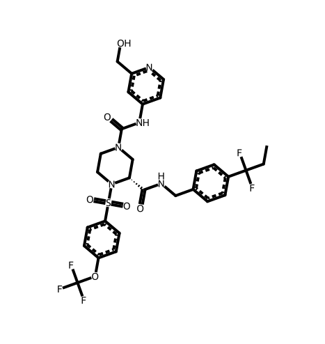 CCC(F)(F)c1ccc(CNC(=O)[C@H]2CN(C(=O)Nc3ccnc(CO)c3)CCN2S(=O)(=O)c2ccc(OC(F)(F)F)cc2)cc1